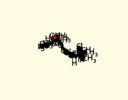 Cc1ncsc1-c1ccc(CNC(=O)[C@@H]2C[C@@H](O)CN2C(=O)C(NC(=O)COCCCOc2ccc(-c3ccc(NC(=O)C[C@@H]4N=C(c5ccc(Cl)cc5)c5c(sc(C)c5C)-n5c(C)nnc54)c(F)c3)nc2)C(C)(C)C)cc1